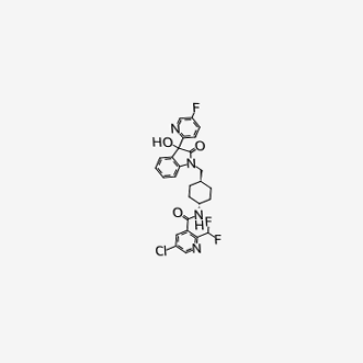 O=C(N[C@H]1CC[C@H](CN2C(=O)C(O)(c3ccc(F)cn3)c3ccccc32)CC1)c1cc(Cl)cnc1C(F)F